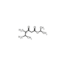 CC(C)OC(=O)CC(=O)[C@H](C)C(C)C